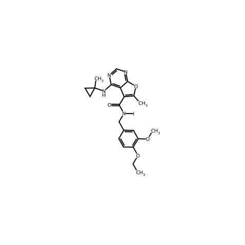 CCOc1ccc(CN(I)C(=O)c2c(C)oc3ncnc(NC4(C)CC4)c23)cc1OC